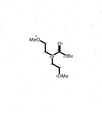 COCCN(CCOC)C(=O)C(C)(C)C